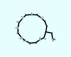 OCC1CCCCCCCCCCCCCCCC1